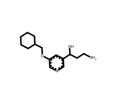 NCCC(O)c1cncc(OCC2CCCCC2)c1